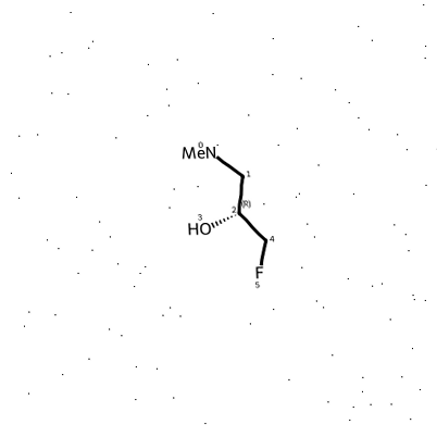 CNC[C@@H](O)CF